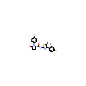 Cc1sc(NC(=O)[C@@H]2CCC(=O)N2c2ccc(Cl)cc2)nc1-c1ccc(F)cc1